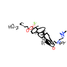 CB(F)C1(C)C2CC[C@]3(C)C(CC[C@@H]4C5=C(C(C)C)C(=O)C[C@]5(CCN(CCN(C)C)C(C)C)CC[C@]43C)[C@@]2(C)CC[C@@H]1OC(=O)CCC(=O)O